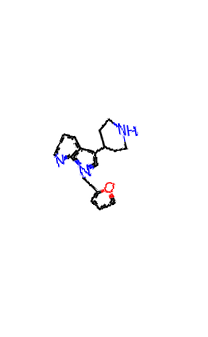 c1coc(Cn2cc(C3CCNCC3)c3cccnc32)c1